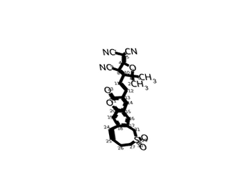 CC1(C)OC(=C(C#N)C#N)C(C#N)=C1/C=C/c1cc2cc3c(cc2oc1=O)C#CCCS(=O)(=O)C3